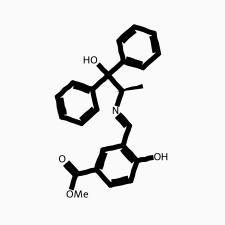 COC(=O)c1ccc(O)c(C=N[C@H](C)C(O)(c2ccccc2)c2ccccc2)c1